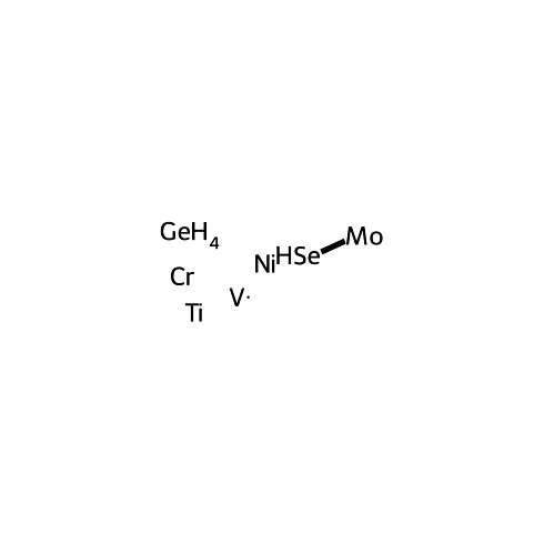 [Cr].[GeH4].[Ni].[SeH][Mo].[Ti].[V]